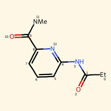 CCC(=O)Nc1cccc(C(=O)NC)n1